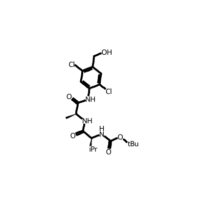 CC(C)[C@H](NC(=O)OC(C)(C)C)C(=O)N[C@@H](C)C(=O)Nc1cc(Cl)c(CO)cc1Cl